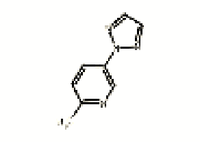 Cc1ccc(-n2nccn2)cn1